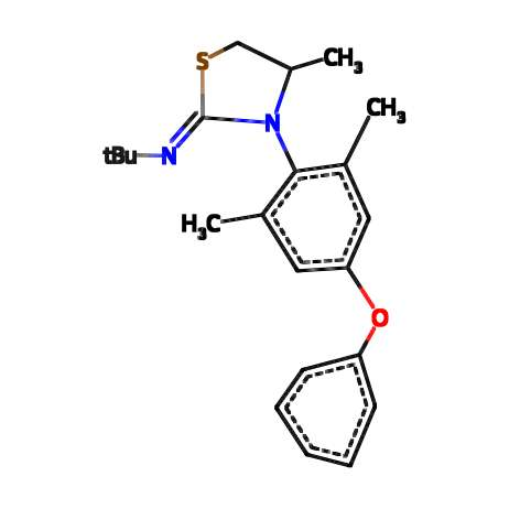 Cc1cc(Oc2ccccc2)cc(C)c1N1C(=NC(C)(C)C)SCC1C